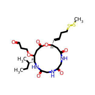 CCC(C)[C@H]1NC(=O)CNC(=O)CNC(=O)C[C@@H](C=CCCSSC)OC(=O)CC1OCCC=O